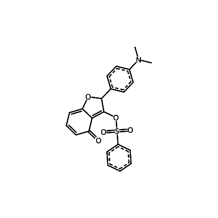 CN(C)c1ccc(C2OC3=CC=CC(=O)C3=C2OS(=O)(=O)c2ccccc2)cc1